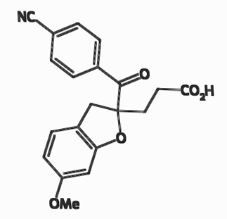 COc1ccc2c(c1)OC(CCC(=O)O)(C(=O)c1ccc(C#N)cc1)C2